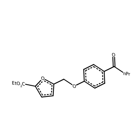 CCCC(=O)c1ccc(OCc2ccc(C(=O)OCC)o2)cc1